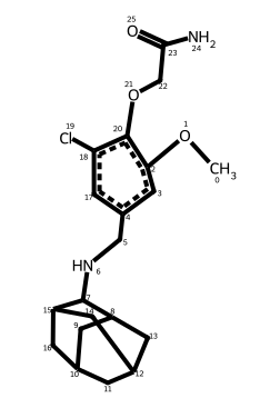 COc1cc(CNC2C3CC4CC(C3)CC2C4)cc(Cl)c1OCC(N)=O